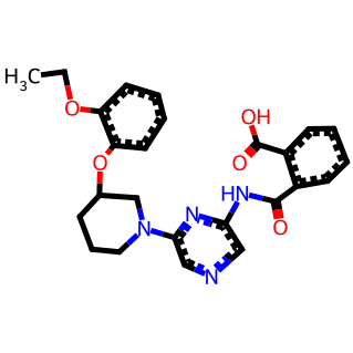 CCOc1ccccc1OC1CCCN(c2cncc(NC(=O)c3ccccc3C(=O)O)n2)C1